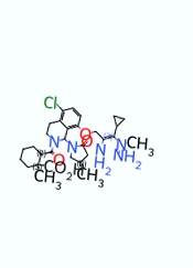 C[C@@H]1CC(=O)N(C2c3c(OC/C(N)=C(\C4CC4)N(C)N)ccc(Cl)c3CCN2C(=O)[C@@H]2CCCC[C@]2(C)C(=O)O)C1